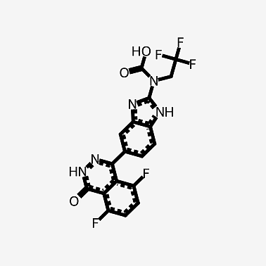 O=C(O)N(CC(F)(F)F)c1nc2cc(-c3n[nH]c(=O)c4c(F)ccc(F)c34)ccc2[nH]1